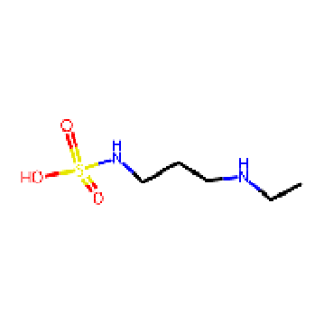 CCNCCCNS(=O)(=O)O